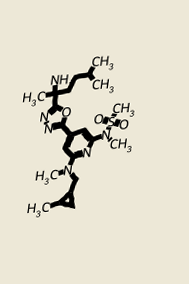 CC(C)CCC(C)(N)c1nnc(-c2cc(N(C)CC3CC3C)nc(N(C)S(C)(=O)=O)c2)o1